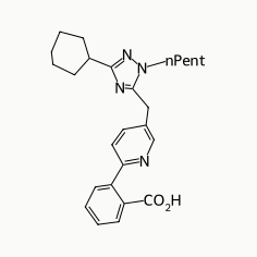 CCCCCn1nc(C2CCCCC2)nc1Cc1ccc(-c2ccccc2C(=O)O)nc1